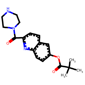 CC(C)(C)C(=O)Oc1ccc2nc(C(=O)N3CCNCC3)ccc2c1